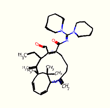 C=C1C(CC)/C(C=O)=C(/C(=O)N=C(N2CCCCC2)N2CCCCC2)CCCC(=C)C2(N)C=CC=CC1(C)C2(C)C